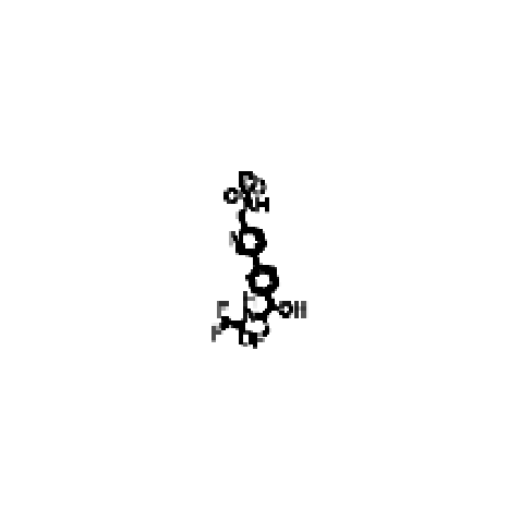 CC(C)S(=O)(=O)NCc1ccc(-c2ccc([C@@H](O)[C@@H](CF)NC(=O)C(F)F)cc2)cn1